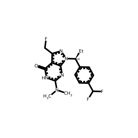 CC[C@@H](c1ccc(C(F)F)cc1)n1nc(CF)c2c(=O)[nH]c(N(C)C)nc21